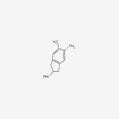 Cc1cc2c(cc1C)CC(C=O)C2